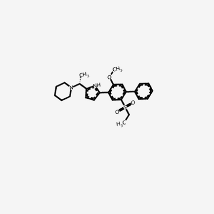 CCS(=O)(=O)c1cc(-c2ccc([C@@H](C)N3CCCCC3)[nH]2)c(OC)cc1-c1ccccc1